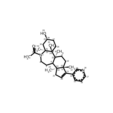 CC(=O)N1CCC2[C@](C)(CC[C@]3(C)C(c4cccnc4)=CC[C@@]23C)[C@@]2(C)CC[C@H](O)C[C@]12C